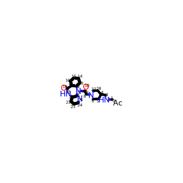 CC(=O)CNCC1CCN(CC(=O)N2c3ccccc3C(=O)Nc3cccnc32)CC1